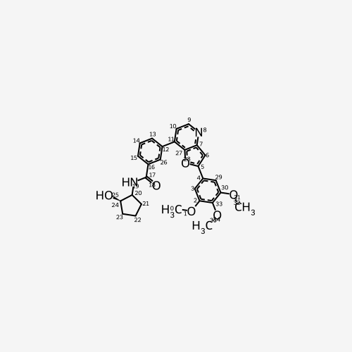 COc1cc(-c2cc3nccc(-c4cccc(C(=O)NC5CCC[C@H]5O)c4)c3o2)cc(OC)c1OC